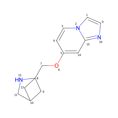 c1cn2ccc(OCC34CC(CN3)C4)cc2n1